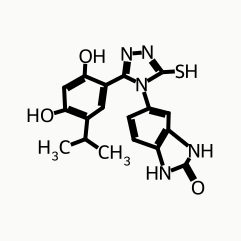 CC(C)c1cc(-c2nnc(S)n2-c2ccc3[nH]c(=O)[nH]c3c2)c(O)cc1O